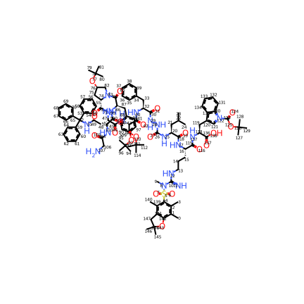 Cc1c(C)c(S(=O)(=O)N(C)C(=N)NCCC[C@H](NC(=O)[C@H](CC(C)C)NC(=O)NNC(=O)[C@H](Cc2ccccc2)NC(=O)[C@@H](NC(=O)[C@H](CC(=O)NC(c2ccccc2)(c2ccccc2)c2ccccc2)NC(=O)[C@@H]2C[C@@H](OC(C)(C)C)CN2C(=O)[C@@H](Cc2ccc(OC(C)(C)C)cc2)NC(=O)CNC(=O)CN)[C@@H](C)OC(C)(C)C)C(=O)N[C@@H](Cc2cn(C(=O)OC(C)(C)C)c3ccccc23)C(=O)O)c(C)c2c1OC(C)(C)C2